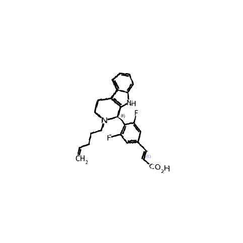 C=CCCCN1CCc2c([nH]c3ccccc23)[C@H]1c1c(F)cc(/C=C/C(=O)O)cc1F